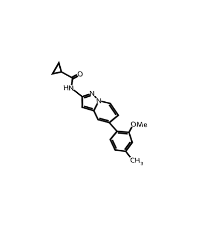 COc1cc(C)ccc1-c1ccn2nc(NC(=O)C3CC3)cc2c1